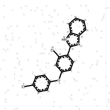 Clc1ccc(Oc2ccc(-c3nc4ccccc4[nH]3)c(Cl)c2)cc1